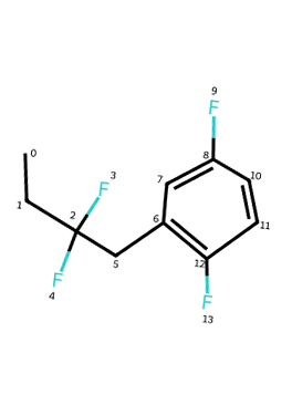 CCC(F)(F)Cc1cc(F)ccc1F